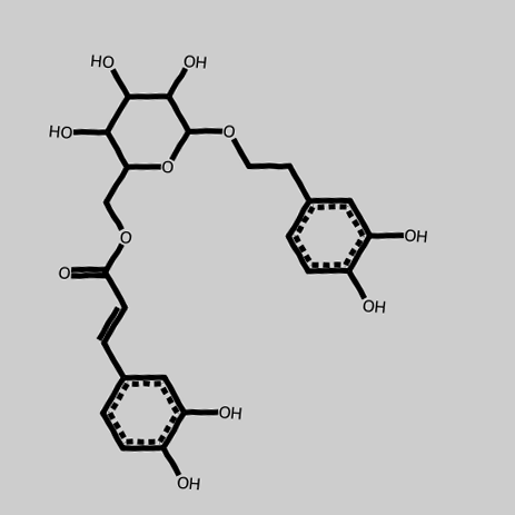 O=C(C=Cc1ccc(O)c(O)c1)OCC1OC(OCCc2ccc(O)c(O)c2)C(O)C(O)C1O